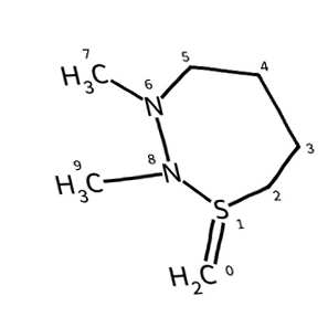 C=S1CCCCN(C)N1C